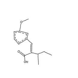 CCC(C)C(=Cc1cccc(OC)c1)C(=O)O